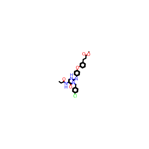 CCC(=O)Nc1c[nH]/c(=N\c2ccc(Oc3cccc(CCC(=O)OC)c3)cc2)n(Cc2ccc(Cl)cc2)c1=O